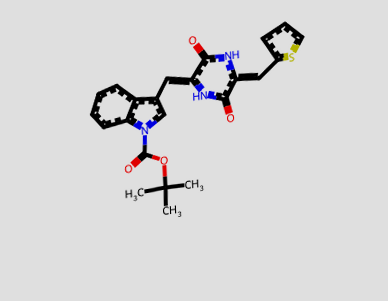 CC(C)(C)OC(=O)n1cc(C=c2[nH]c(=O)c(=Cc3cccs3)[nH]c2=O)c2ccccc21